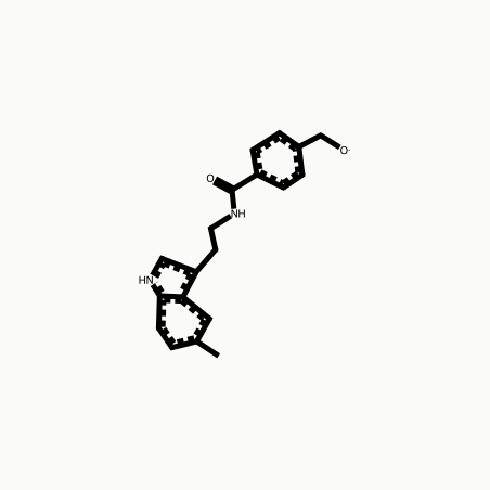 Cc1ccc2[nH]cc(CCNC(=O)c3ccc(C[O])cc3)c2c1